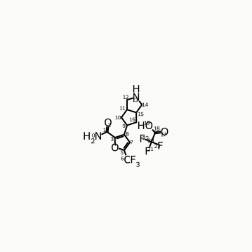 NC(=O)c1oc(C(F)(F)F)cc1C1CC2CNCC2C1.O=C(O)C(F)(F)F